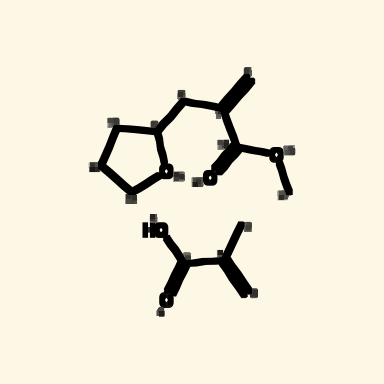 C=C(C)C(=O)O.C=C(CC1CCCO1)C(=O)OC